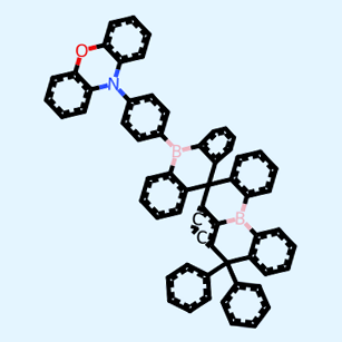 c1ccc(C2(c3ccccc3)c3ccccc3B3c4ccccc4C4(c5ccccc5B(c5ccc(N6c7ccccc7Oc7ccccc76)cc5)c5ccccc54)c4cccc2c43)cc1